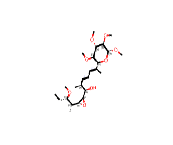 CC[C@H](OC)[C@@H](C)[C@H]1O[C@@H]1[C@H](O)[C@@H](C)/C=C/C=C(\C)[C@@H]1O[C@@H](OC)[C@H](OC)[C@@H](OC)[C@@H]1OC